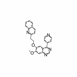 COc1cc2ncnc(-c3ccncc3)c2cc1OCCc1ccc2ccccc2n1